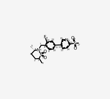 CC1CC[C@H](C)N(Cc2ccc(-c3ccc(S(C)(=O)=O)nc3)cc2F)S1(=O)=O